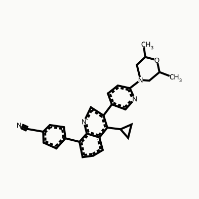 CC1CN(c2ccc(-c3cnc4c(-c5ccc(C#N)cc5)cccc4c3C3CC3)cn2)CC(C)O1